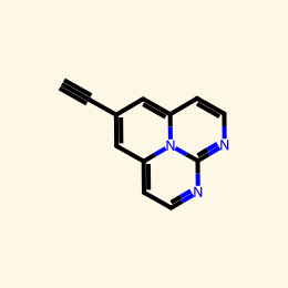 C#CC1=CC2=CC=NC3=NC=CC(=C1)N23